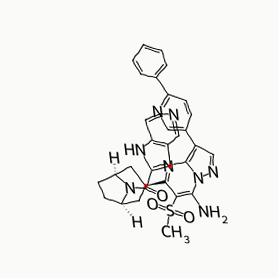 CS(=O)(=O)c1c([C@H]2C[C@H]3CC[C@@H](C2)N3C(=O)c2cc3cnccc3[nH]2)nc2c(-c3ccc(-c4ccccc4)nc3)cnn2c1N